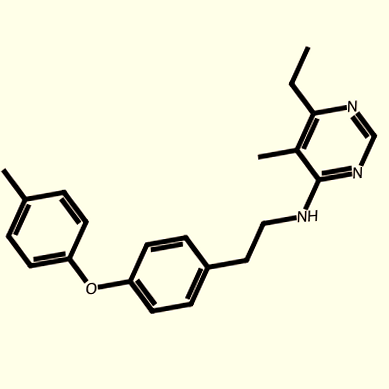 CCc1ncnc(NCCc2ccc(Oc3ccc(C)cc3)cc2)c1C